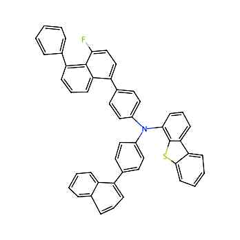 Fc1ccc(-c2ccc(N(c3ccc(-c4cccc5ccccc45)cc3)c3cccc4c3sc3ccccc34)cc2)c2cccc(-c3ccccc3)c12